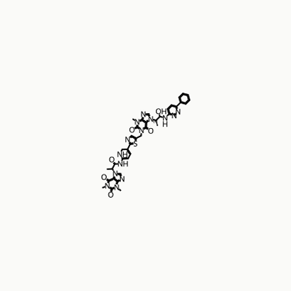 CC(C(=O)NC1=CC=C(c2ncc(Cn3c(=O)c4c(ncn4[C@H](C)C(O)Nc4ccc(-c5ccccc5)nn4)n(C)c3=O)s2)CN1)n1cnc2c1c(=O)n(C)c(=O)n2C